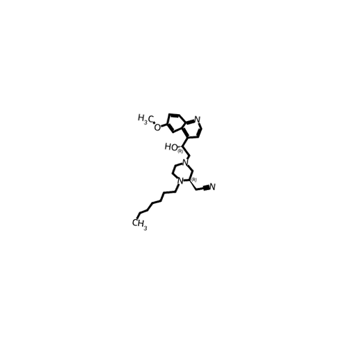 CCCCCCCN1CCN(C[C@H](O)c2ccnc3ccc(OC)cc23)C[C@H]1CC#N